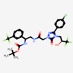 CC(C)(C)OC(=O)NC(CNC(=O)Cn1nc(-c2ccc(Cl)cc2)n(C[C@H](O)C(F)(F)F)c1=O)c1cccc(C(F)(F)F)c1